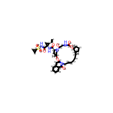 C=C[C@@H]1C[C@]1(NC(=O)[C@@H]1C[C@@H]2CN1C(=O)CNC(=O)O[C@@H]1CCC[C@H]1CCC/C=C/Cn1c(cc3ccccc3c1=O)O2)C(=O)NS(=O)(=O)C1CC1